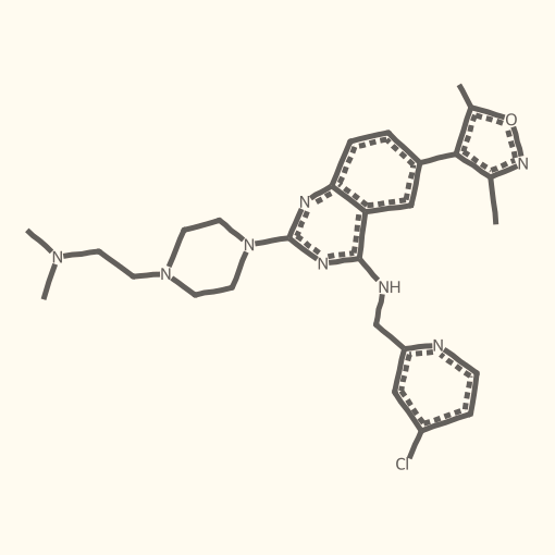 Cc1noc(C)c1-c1ccc2nc(N3CCN(CCN(C)C)CC3)nc(NCc3cc(Cl)ccn3)c2c1